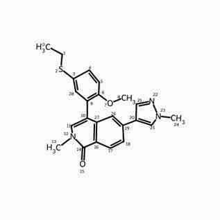 CCSc1ccc(OC)c(-c2cn(C)c(=O)c3ccc(-c4cnn(C)c4)cc23)c1